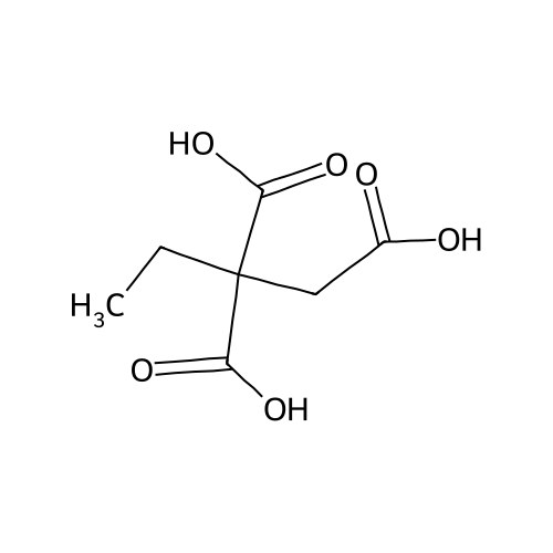 CCC(CC(=O)O)(C(=O)O)C(=O)O